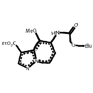 CCOC(=O)c1cnn2ccc(NC(=O)OC(C)(C)C)c(OC)c12